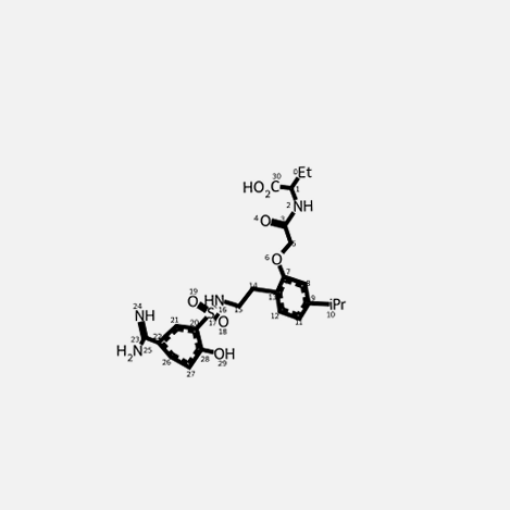 CCC(NC(=O)COc1cc(C(C)C)ccc1CCNS(=O)(=O)c1cc(C(=N)N)ccc1O)C(=O)O